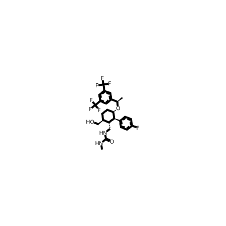 CNC(=O)NC[C@@H]1[C@@H](CO)CC[C@H](O[C@H](C)c2cc(C(F)(F)F)cc(C(F)(F)F)c2)[C@H]1c1ccc(F)cc1